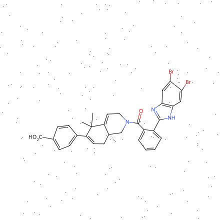 CC1(C)C(c2ccc(C(=O)O)cc2)=CC[C@]2(C)CN(C(=O)c3ccccc3-c3nc4cc(Br)c(Br)cc4[nH]3)CC=C12